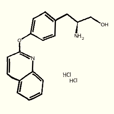 Cl.Cl.N[C@H](CO)Cc1ccc(Oc2ccc3ccccc3n2)cc1